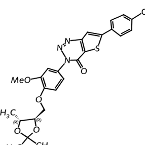 COc1cc(-n2nnc3cc(-c4ccc(Cl)cc4)sc3c2=O)ccc1OC[C@H]1OC(C)(C)O[C@@H]1C